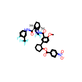 COc1ccc(C2CCCCC2OC(=O)c2ccc([N+](=O)[O-])cc2)cc1C(=O)N[C@H]1[C@@H](C(=O)Nc2ccc(F)c(C(F)(F)F)c2)[C@H]2CC[C@@H]1/C2=C\C(F)(F)F